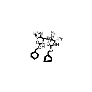 CC(C)C(NC(=O)OCc1ccccc1)c1nc[nH]n1.CC(C)[C@H](NC(=O)OCc1ccccc1)C(N)=O